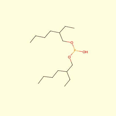 CCCCC(CC)COP(O)OCC(CC)CCCC